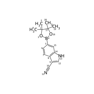 CC1(C)OB(c2ccc3c(C#N)c[nH]c3c2)OC1(C)C